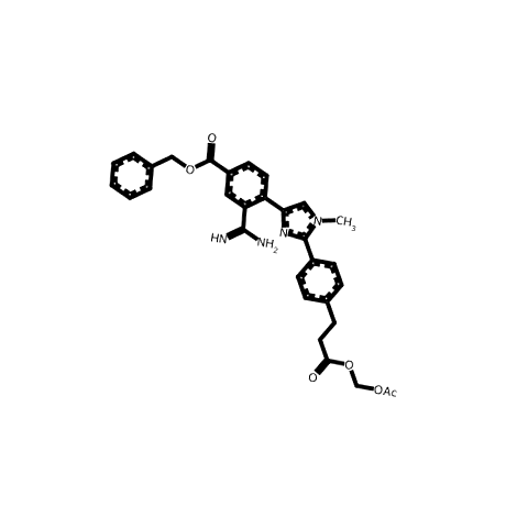 CC(=O)OCOC(=O)CCc1ccc(-c2nc(-c3ccc(C(=O)OCc4ccccc4)cc3C(=N)N)cn2C)cc1